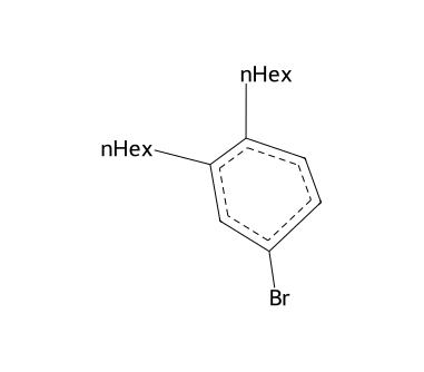 CCCCCCc1ccc(Br)cc1CCCCCC